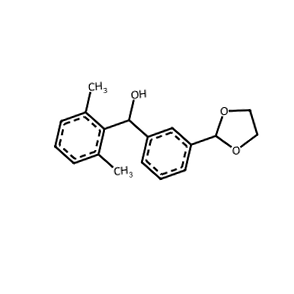 Cc1cccc(C)c1C(O)c1cccc(C2OCCO2)c1